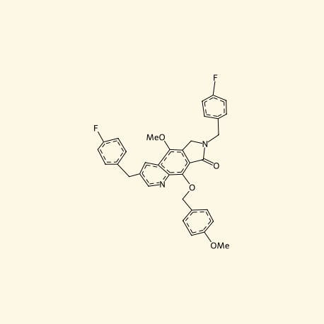 COc1ccc(COc2c3c(c(OC)c4cc(Cc5ccc(F)cc5)cnc24)CN(Cc2ccc(F)cc2)C3=O)cc1